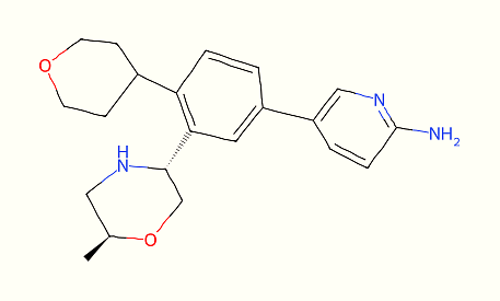 C[C@H]1CN[C@H](c2cc(-c3ccc(N)nc3)ccc2C2CCOCC2)CO1